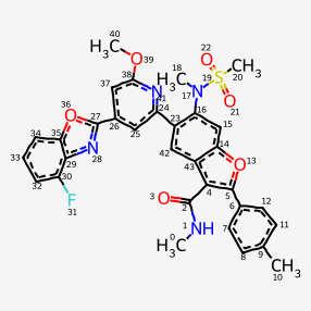 CNC(=O)c1c(-c2ccc(C)cc2)oc2cc(N(C)S(C)(=O)=O)c(-c3cc(-c4nc5c(F)cccc5o4)cc(OC)n3)cc12